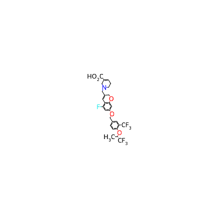 C[C@H](Oc1ccc(COc2cc(F)c3c(c2)OCC(CN2CCC=C(C(=O)O)C2)=C3)cc1C(F)(F)F)C(F)(F)F